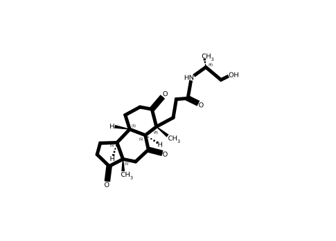 C[C@H](CO)NC(=O)CC[C@@]1(C)C(=O)CC[C@@H]2[C@@H]1C(=O)C[C@]1(C)C(=O)CC[C@@H]21